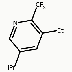 CCc1cc(C(C)C)cnc1C(F)(F)F